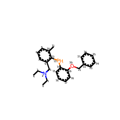 CCN(CC)Cc1cccc(C)c1Pc1ccccc1OCc1ccccc1